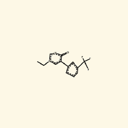 CCn1cnc(=O)c(-c2cccc(C(F)(F)F)c2)c1